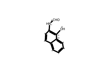 O=CNc1ccc2ccccc2c1O